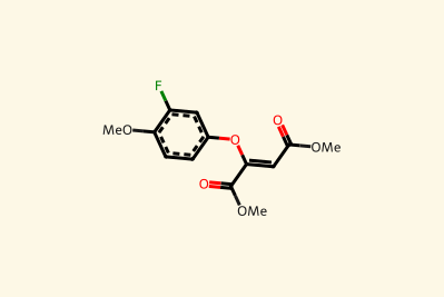 COC(=O)/C=C(\Oc1ccc(OC)c(F)c1)C(=O)OC